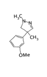 COc1cccc(C2(C)C=NN(C)C2)c1